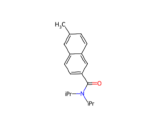 Cc1ccc2cc(C(=O)N(C(C)C)C(C)C)ccc2c1